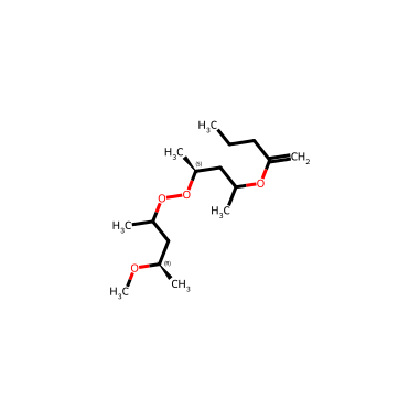 C=C(CCC)OC(C)C[C@H](C)OOC(C)C[C@@H](C)OC